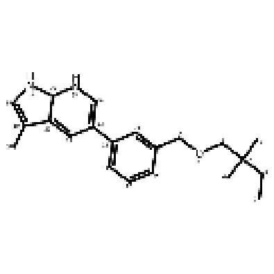 CCC(C)(C)COCc1cccc(C2=CNC3NC=C(C)C3=C2)c1